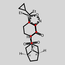 CCN(CC)C1CCN(S(=O)(=O)N2[C@@H]3CC[C@H]2C[C@@H](NC(=O)c2cc(C4CC4)on2)C3)CC1